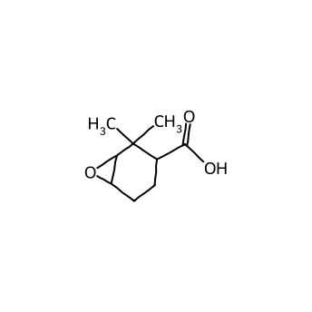 CC1(C)C(C(=O)O)CCC2OC21